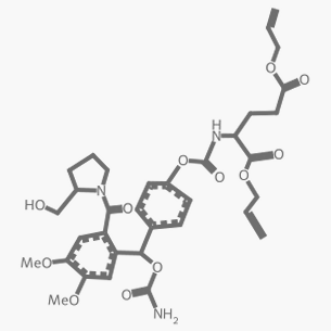 C=CCOC(=O)CCC(NC(=O)Oc1ccc(C(OC(N)=O)c2cc(OC)c(OC)cc2C(=O)N2CCCC2CO)cc1)C(=O)OCC=C